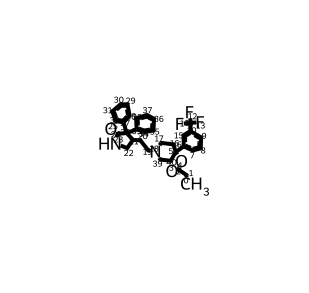 CCC(=O)OC1(c2cccc(C(F)(F)F)c2)CCN(CCC2CNC(=O)C2(c2ccccc2)c2ccccc2)CC1